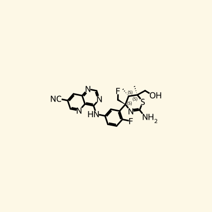 C[C@@H]1[C@@](C)(CO)SC(N)=N[C@]1(CF)c1cc(Nc2ncnc3cc(C#N)cnc23)ccc1F